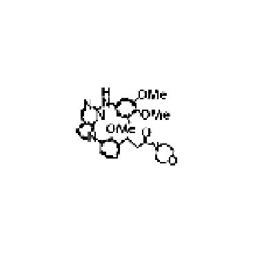 COc1cc(Nc2ncc3ccn(-c4cccc(CCC(=O)N5CCOCC5)c4)c3n2)cc(OC)c1OC